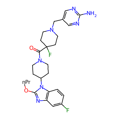 CCCOc1nc2cc(F)ccc2n1C1CCN(C(=O)C2(F)CCN(Cc3cnc(N)nc3)CC2)CC1